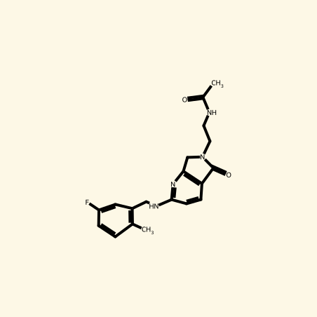 CC(=O)NCCN1Cc2nc(NCc3cc(F)ccc3C)ccc2C1=O